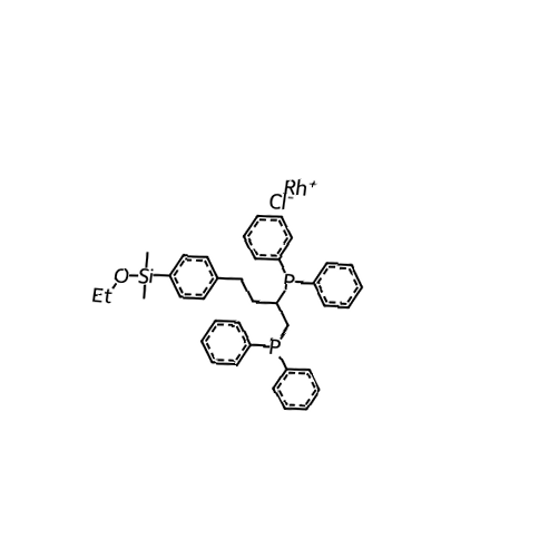 CCO[Si](C)(C)c1ccc(CCC(CP(c2ccccc2)c2ccccc2)P(c2ccccc2)c2ccccc2)cc1.[Cl-].[Rh+]